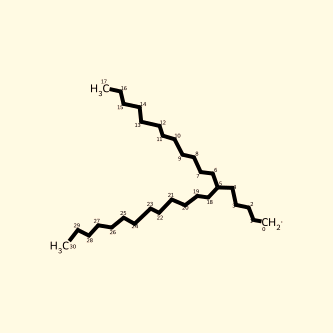 [CH2]CCCCC(CCCCCCCCCCCC)CCCCCCCCCCCCC